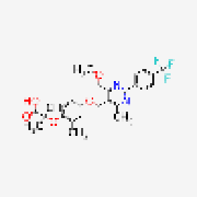 COCc1nc(-c2ccc(C(F)(F)F)cc2)nc(C)c1COc1ccc(OC(C)(C)C(=O)O)c(C)c1